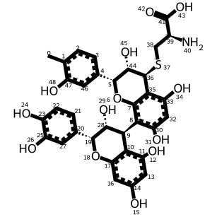 Cc1ccc([C@H]2Oc3c([C@H]4c5c(O)cc(O)cc5O[C@H](c5ccc(O)c(O)c5)[C@@H]4O)c(O)cc(O)c3[C@H](SC[C@H](N)C(=O)O)[C@H]2O)cc1O